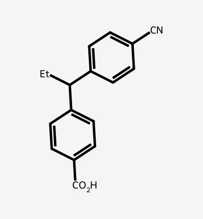 CCC(c1ccc(C#N)cc1)c1ccc(C(=O)O)cc1